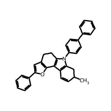 CC1C=Cc2c3c(n(-c4ccc(-c5ccccc5)cc4)c2C1)CCc1cc(-c2ccccc2)oc1-3